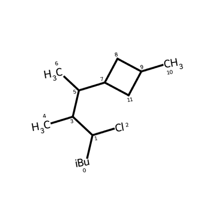 CCC(C)C(Cl)C(C)C(C)C1CC(C)C1